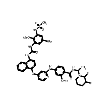 COc1cc(Nc2cc(Oc3ccc(NC(=O)Nc4cc(C(C)(C)C)cc(NS(C)(=O)=O)c4OC)c4ccccc34)ccn2)ccc1C(=O)NC(C)N1CCCC(F)C1F